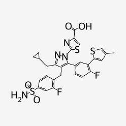 Cc1csc(-c2cc(-c3c(Cc4ccc(S(N)(=O)=O)cc4F)c(CC4CC4)nn3-c3nc(C(=O)O)cs3)ccc2F)c1